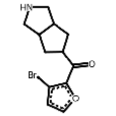 O=C(c1occc1Br)C1CC2CNCC2C1